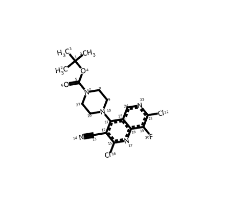 CC(C)(C)OC(=O)N1CCN(c2c(C#N)c(Cl)nc3c(F)c(Cl)ncc23)CC1